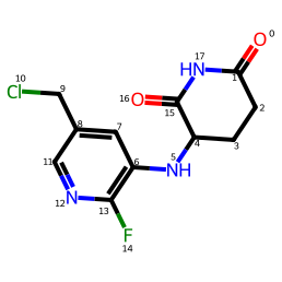 O=C1CCC(Nc2cc(CCl)cnc2F)C(=O)N1